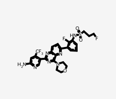 Nc1cc(C(F)(F)F)c(-c2nc(N3CCOCC3)c3nc(-c4cccc(NS(=O)(=O)CCCF)c4F)ccc3n2)cn1